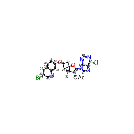 CC(=O)O[C@H]1[C@H](n2cnc3c(Cl)ncnc32)O[C@]2(C[C@H](Oc3ccc4cc(Br)cnc4c3)C2)[C@H]1C